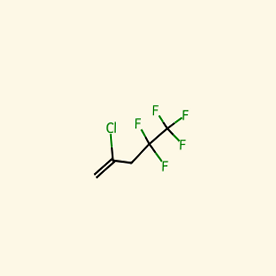 C=C(Cl)CC(F)(F)C(F)(F)F